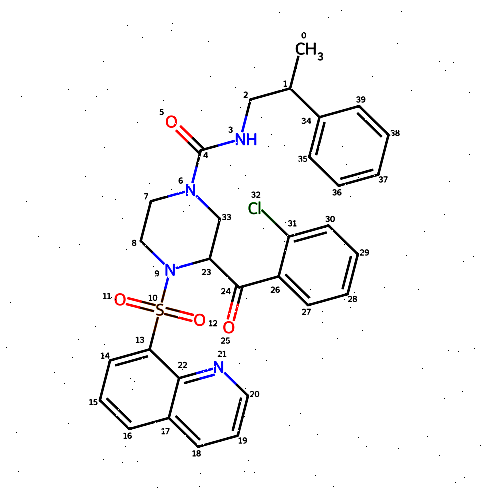 CC(CNC(=O)N1CCN(S(=O)(=O)c2cccc3cccnc23)C(C(=O)c2ccccc2Cl)C1)c1ccccc1